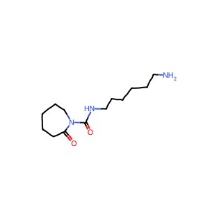 NCCCCCCNC(=O)N1CCCCCC1=O